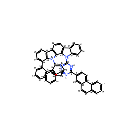 c1ccc(-c2nc(-c3ccc4c(ccc5ccccc54)c3)nc(-n3c4ccccc4c4ccc5c6cccc7c6n(c5c43)-c3ccccc3-c3ccccc3-7)n2)cc1